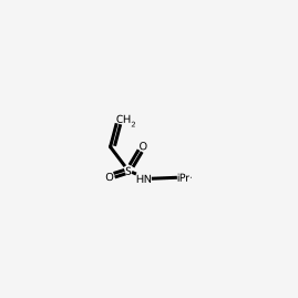 C=CS(=O)(=O)N[C](C)C